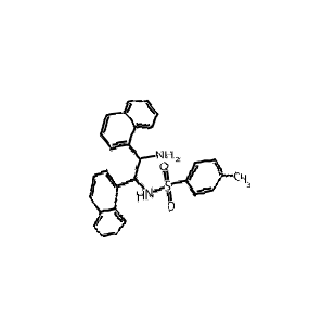 Cc1ccc(S(=O)(=O)NC(c2cccc3ccccc23)C(N)c2cccc3ccccc23)cc1